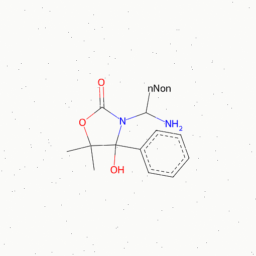 CCCCCCCCCC(N)N1C(=O)OC(C)(C)C1(O)c1ccccc1